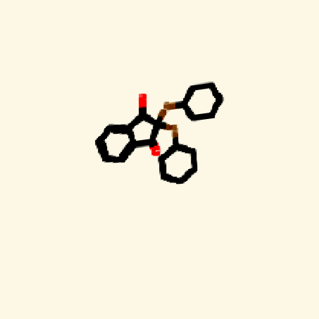 O=C1c2ccccc2C(=O)C1(SC1CCCCC1)SC1CCCCC1